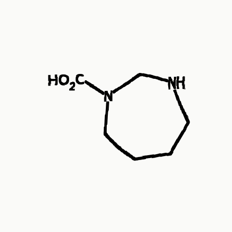 O=C(O)N1CCCCNC1